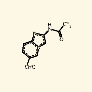 O=Cc1ccc2nc(NC(=O)C(F)(F)F)cn2c1